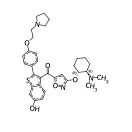 CN(C)[C@@H]1CCCC[C@H]1Oc1cc(C(=O)c2c(-c3ccc(OCCN4CCCC4)cc3)sc3cc(O)ccc23)on1